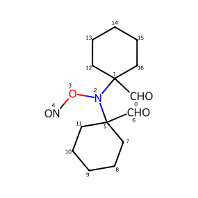 O=CC1(N(ON=O)C2(C=O)CCCCC2)CCCCC1